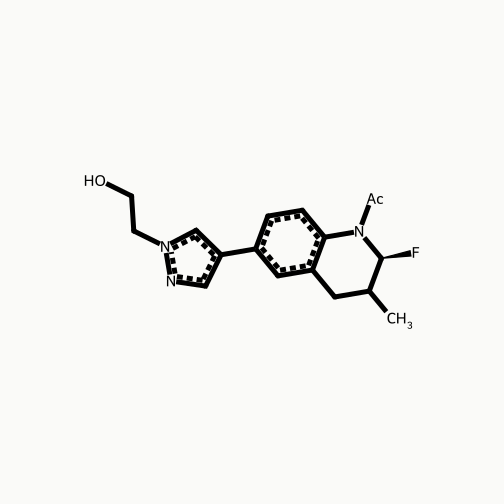 CC(=O)N1c2ccc(-c3cnn(CCO)c3)cc2CC(C)[C@@H]1F